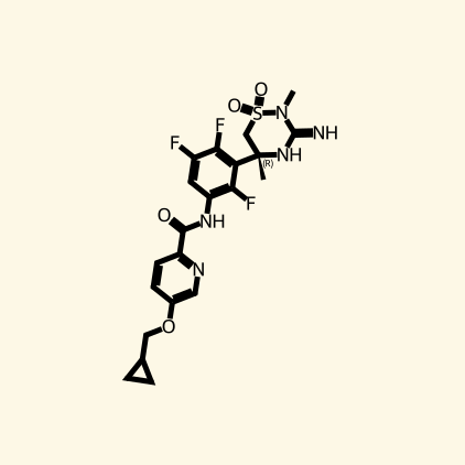 CN1C(=N)N[C@](C)(c2c(F)c(F)cc(NC(=O)c3ccc(OCC4CC4)cn3)c2F)CS1(=O)=O